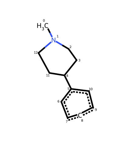 CN1CCC(c2cc[c]cc2)CC1